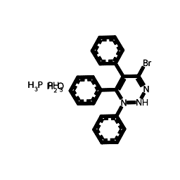 BrC1=NNN(c2ccccc2)C(c2ccccc2)=C1c1ccccc1.O.P.P